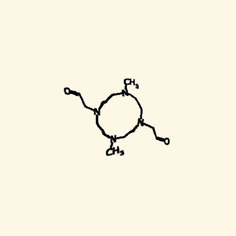 CN1CCN(CC=O)CCN(C)CCN(CC=O)CC1